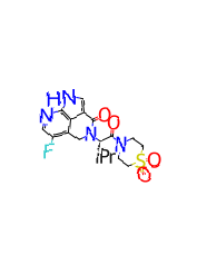 CC(C)[C@H](C(=O)N1CCS(=O)(=O)CC1)N1Cc2c(F)cnc3[nH]cc(c23)C1=O